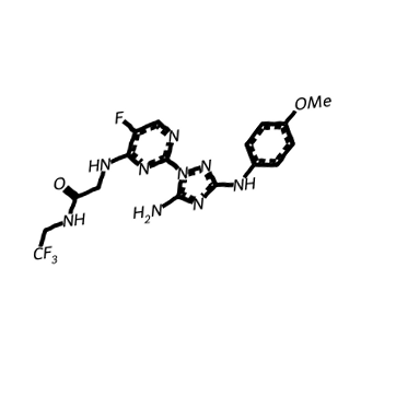 COc1ccc(Nc2nc(N)n(-c3ncc(F)c(NCC(=O)NCC(F)(F)F)n3)n2)cc1